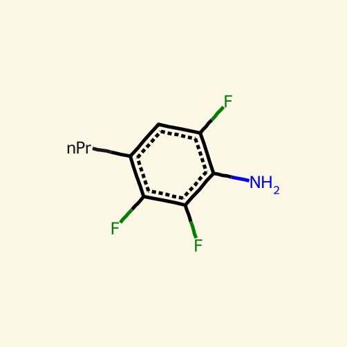 CCCc1cc(F)c(N)c(F)c1F